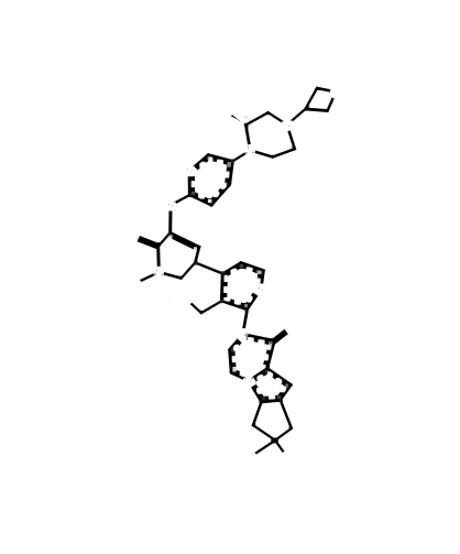 COCc1c(C2C=C(Nc3ccc(N4CCN(C5COC5)C[C@@H]4C)cn3)C(=O)N(C)C2)ccnc1-n1ccn2c3c(cc2c1=O)CC(C)(C)C3